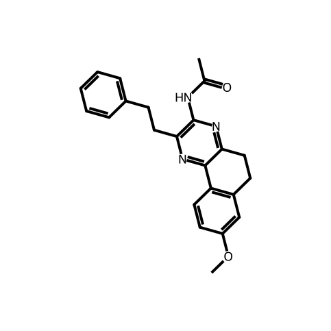 COc1ccc2c(c1)CCc1nc(NC(C)=O)c(CCc3ccccc3)nc1-2